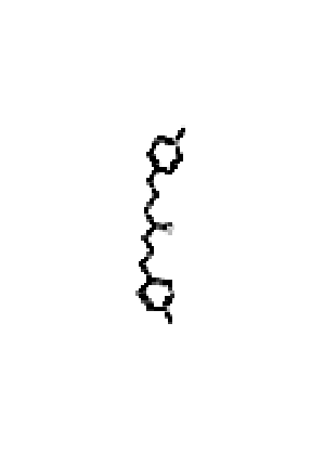 Cc1ccc(CCCC(=O)CCCc2ccc(C)cc2)cc1